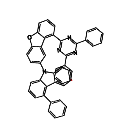 c1ccc(-c2nc(-c3ccccc3)nc(-c3cccc4oc5ccc(-n6c7ccccc7c7c(-c8ccccc8)cccc76)cc5c34)n2)cc1